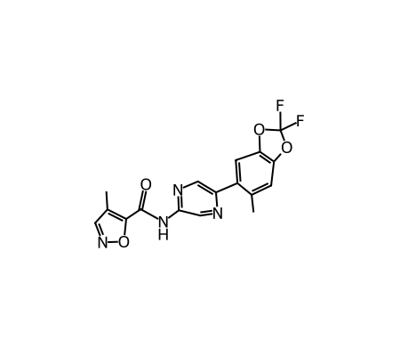 Cc1cc2c(cc1-c1cnc(NC(=O)c3oncc3C)cn1)OC(F)(F)O2